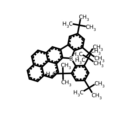 CC(C)(C)c1cc2c(c(C(C)(C)C)c1)B(c1c(C(C)(C)C)cc(C(C)(C)C)cc1C(C)(C)C)c1c-2cc2ccc3cccc4ccc1c2c34